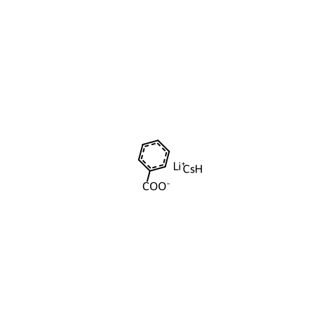 O=C([O-])c1ccccc1.[CsH].[Li+]